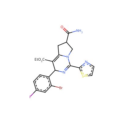 CCOC(=O)C1=C2CC(C(N)=O)CN2C(c2nccs2)=NC1c1ccc(I)cc1Br